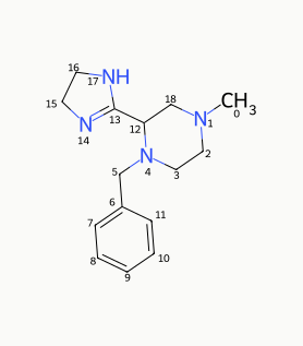 CN1CCN(Cc2ccccc2)C(C2=NCCN2)C1